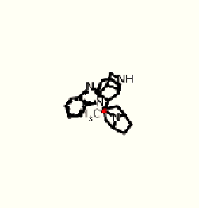 C[C@H](C1CCCCC1)N1C2CCC1CC(n1c(C3CNC3)nc3ccccc31)C2